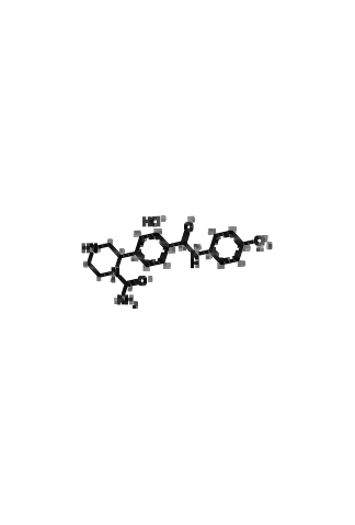 Cl.NC(=O)N1CCNCC1c1ccc(C(=O)Nc2ccc(C(F)(F)F)cc2)cc1